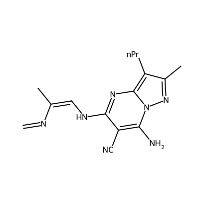 C=N/C(C)=C\Nc1nc2c(CCC)c(C)nn2c(N)c1C#N